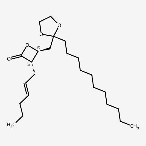 CCCC=CC[C@@H]1C(=O)O[C@H]1CC1(CCCCCCCCCCC)OCCO1